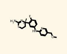 COCc1ccc(Nc2ccc(F)c([C@]3(C)CCSC(N)=N3)c2)nc1